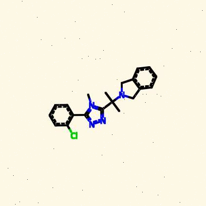 Cn1c(-c2ccccc2Cl)nnc1C(C)(C)N1Cc2ccccc2C1